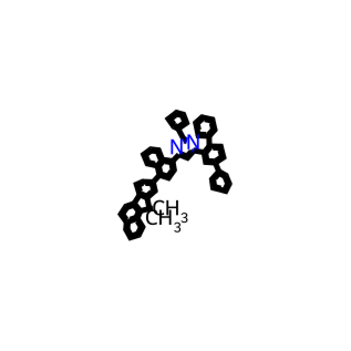 CC1(C)c2cc(-c3ccc(-c4cc(-c5cc(-c6ccccc6)ccc5-c5ccccc5)nc(-c5ccccc5)n4)c4ccccc34)ccc2-c2ccc3ccccc3c21